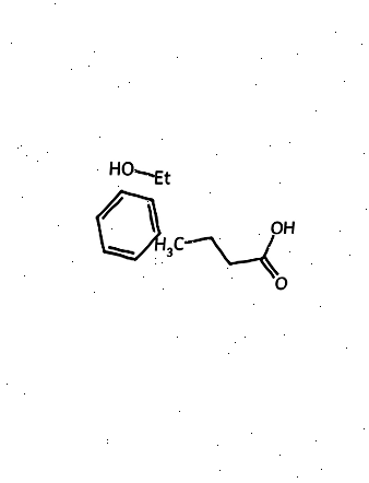 CCCC(=O)O.CCO.c1ccccc1